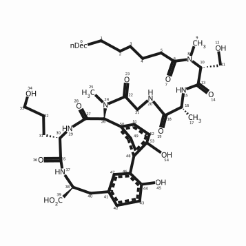 CCCCCCCCCCCCCCCC(=O)N(C)[C@H](CO)C(=O)N[C@H](C)C(=O)NCC(=O)N(C)[C@@H]1C(=O)N[C@@H](CCCO)C(=O)N[C@H](C(=O)O)Cc2ccc(O)c(c2)-c2cc1ccc2O